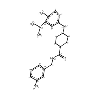 Cc1cnc(NC2CCC(C(=O)NCc3cccc(N)c3)CC2)nc1N(C)C